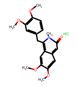 COc1ccc(Cc2c3cc(OC)c(OC)cc3cc(=O)n2C)cc1OC.Cl